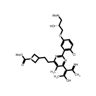 CNC[C@@H](O)COc1ccc(Cl)c(-c2nc(CCC3CN(C(=O)OC)C3)c(C)c(/C(C(C)=N)=C(\C)O)n2)c1